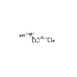 C[C@@H](CO)NCCn1ccc2ccc(OCCc3ccc(F)cc3)cc21